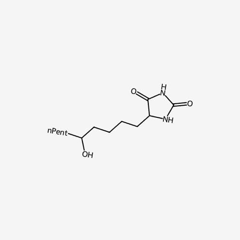 CCCCCC(O)CCCCC1NC(=O)NC1=O